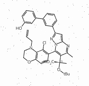 C=CCN1CCOc2ccc(-c3c([C@](C)(OC(C)(C)C)C(=O)O)c(C)nc4cc(-c5cccc(-c6cccc(O)c6)c5)nn34)c(Cl)c21